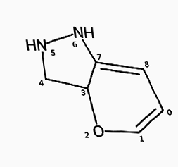 C1=COC2CNNC2=C1